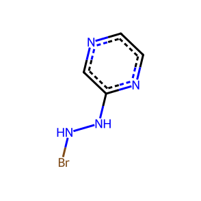 BrNNc1cnccn1